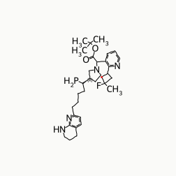 CC1(F)CC(c2ncccc2C(C(=O)OC(C)(C)C)N2CC[C@@H](C(P)CCCCc3ccc4c(n3)NCCC4)C2)C1